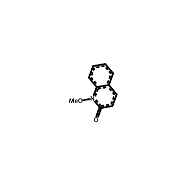 COn1c(=O)ccc2ccccc21